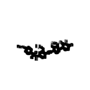 CNc1ccc(S(=O)(=O)Nc2ccc(C#Cc3ccc(-n4ccc(=O)[nH]c4=O)c(OC)c3I)c(CN)c2)cc1